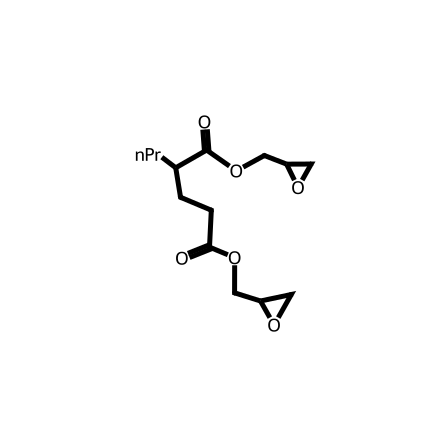 CCCC(CCC(=O)OCC1CO1)C(=O)OCC1CO1